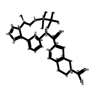 C[C@H](CO[Si](C)(C)C(C)(C)C)n1nnnc1-c1cccc(NC(=O)c2cc3c(cn2)CCN(C(=O)Cl)C3)n1